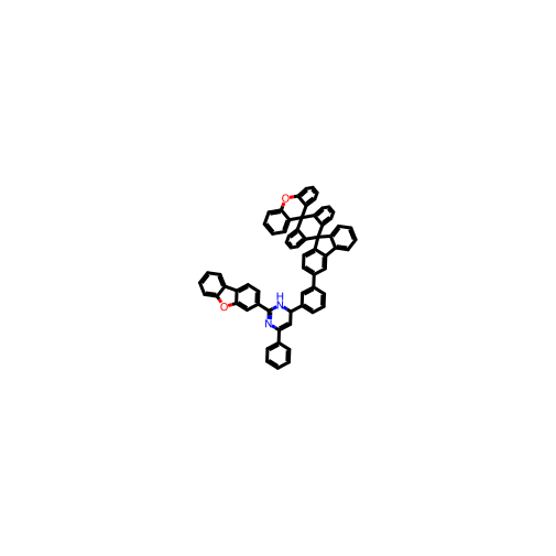 C1=C(c2ccccc2)N=C(c2ccc3c(c2)oc2ccccc23)NC1c1cccc(-c2ccc3c(c2)-c2ccccc2C32c3ccccc3C3(c4ccccc4Oc4ccccc43)c3ccccc32)c1